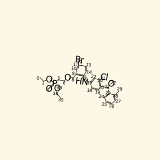 CCOP(=O)(CCOCc1cc(Br)ccc1Nc1ccc(C(=O)c2ccccc2C)c(Cl)c1)OCC